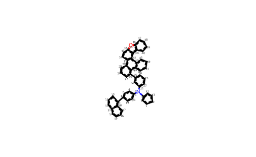 c1ccc(N(c2ccc(-c3cccc4ccccc34)cc2)c2cccc(-c3cccc4c5ccc6oc7ccccc7c6c5c5ccccc5c34)c2)cc1